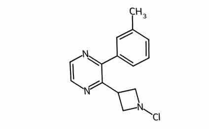 Cc1cccc(-c2nccnc2C2CN(Cl)C2)c1